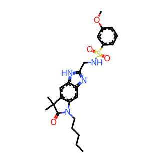 CCCCCN1C(=O)C(C)(C)c2cc3[nH]c(CNS(=O)(=O)c4cccc(OC)c4)nc3cc21